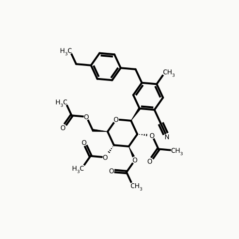 CCc1ccc(Cc2cc([C@@H]3O[C@H](COC(C)=O)[C@@H](OC(C)=O)[C@H](OC(C)=O)[C@H]3OC(C)=O)c(C#N)cc2C)cc1